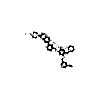 Cc1c(COc2cc(OCc3cncc(C#N)c3)c(CN3CCCC[C@H]3C)cc2Cl)cccc1-c1ccc2ncc(N3CCN(C)CC3)nc2c1